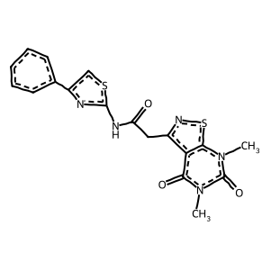 Cn1c(=O)c2c(CC(=O)Nc3nc(-c4ccccc4)cs3)nsc2n(C)c1=O